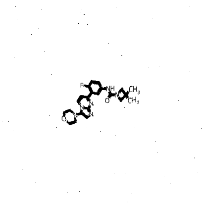 CC1(C)CN(C(=O)Nc2ccc(F)c(-c3ccn4c(N5CCOCC5)cnc4n3)c2)C1